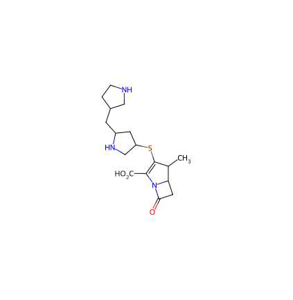 CC1C(SC2CNC(CC3CCNC3)C2)=C(C(=O)O)N2C(=O)CC12